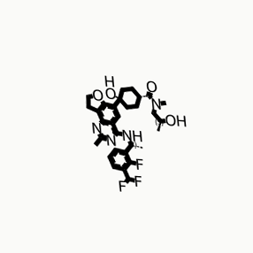 Cc1nc(N[C@H](C)c2cccc(C(F)F)c2F)c2cc([C@]3(O)CC[C@@H](C(=O)N(C)C[C@H](C)O)CC3)c3c(c2n1)CCO3